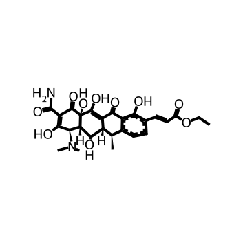 CCOC(=O)/C=C/c1ccc2c(c1O)C(=O)C1=C(O)[C@@]3(O)C(=O)C(C(N)=O)=C(O)[C@H](N(C)C)[C@H]3[C@H](O)[C@H]1[C@@H]2C